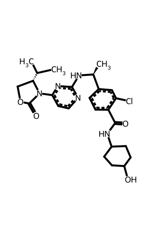 CC(C)[C@H]1COC(=O)N1c1ccnc(N[C@@H](C)c2ccc(C(=O)NC3CCC(O)CC3)c(Cl)c2)n1